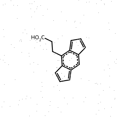 O=C(O)CCc1c2c(cc3c1=CC=C3)=CC=C2